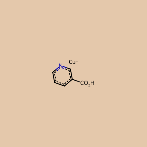 O=C(O)c1cccnc1.[Cu+]